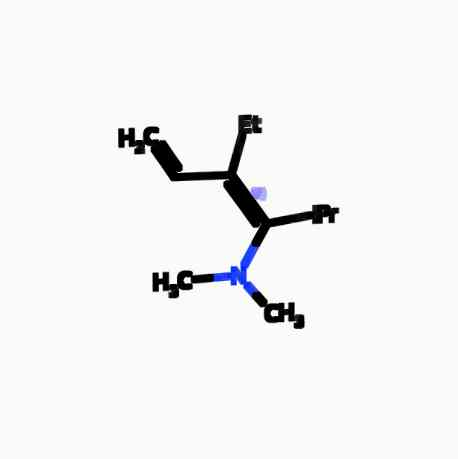 C=C/C(CC)=C(/C(C)C)N(C)C